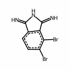 N=C1NC(=N)c2c1ccc(Br)c2Br